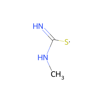 CNC(=N)[S]